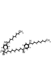 CCCCCCCCNc1cc[n+](C(Br)CCCCCCCCC(C)(Br)[n+]2ccc(NCCCCCCCC)cc2)cc1